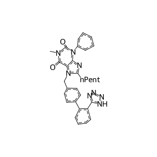 CCCCCc1nc2c(c(=O)n(C)c(=O)n2-c2ccccc2)n1Cc1ccc(-c2ccccc2-c2nnn[nH]2)cc1